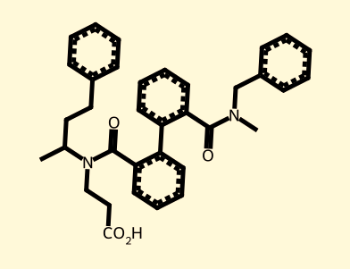 CC(CCc1ccccc1)N(CCC(=O)O)C(=O)c1ccccc1-c1ccccc1C(=O)N(C)Cc1ccccc1